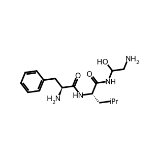 CC(C)C[C@H](NC(=O)[C@@H](N)Cc1ccccc1)C(=O)NC(O)CN